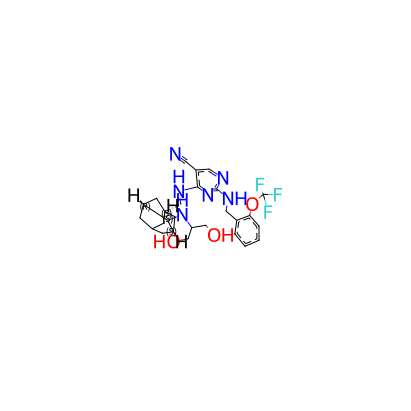 N#Cc1cnc(NCc2ccccc2OC(F)(F)F)nc1NC[C@]12CC3C[C@H](C1)[C@@H](NC(CO)CO)[C@@H](C3)C2